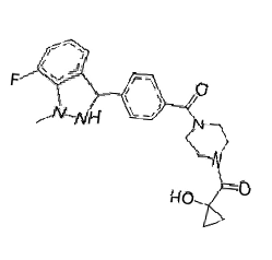 CN1NC(c2ccc(C(=O)N3CCN(C(=O)C4(O)CC4)CC3)cc2)c2cccc(F)c21